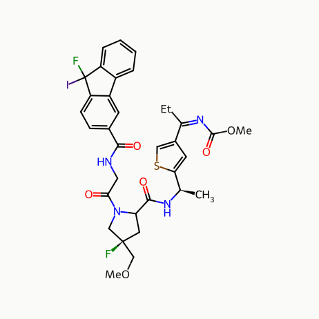 CC/C(=N/C(=O)OC)c1csc([C@@H](C)NC(=O)C2C[C@](F)(COC)CN2C(=O)CNC(=O)c2ccc3c(c2)-c2ccccc2C3(F)I)c1